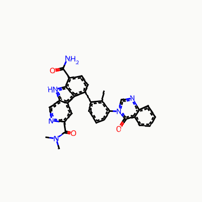 Cc1c(-c2ccc(C(N)=O)c3[nH]c4cnc(C(=O)N(C)C)cc4c23)cccc1-n1cnc2ccccc2c1=O